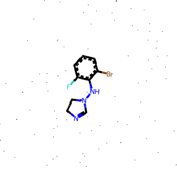 Fc1cccc(Br)c1NN1C=NCC1